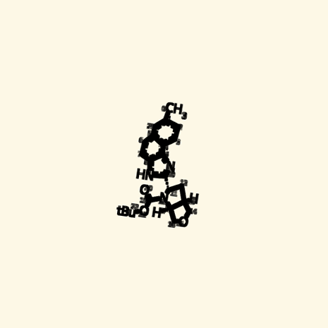 Cc1ccc2c(ccc3[nH]c([C@@H]4C[C@@H]5COC[C@@H]5N4C(=O)OC(C)(C)C)nc32)c1